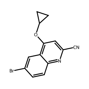 N#Cc1cc(OC2CC2)c2cc(Br)ccc2n1